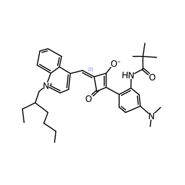 CCCCC(CC)C[n+]1ccc(/C=C2\C(=O)C(c3ccc(N(C)C)cc3NC(=O)C(C)(C)C)=C2[O-])c2ccccc21